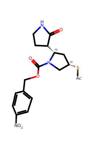 CC(=O)S[C@H]1C[C@@H](C2CCNC2=O)N(C(=O)OCc2ccc([N+](=O)[O-])cc2)C1